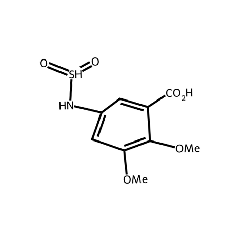 COc1cc(N[SH](=O)=O)cc(C(=O)O)c1OC